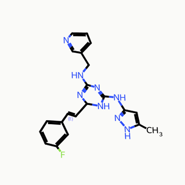 Cc1cc(NC2=NC(NCc3cccnc3)=NC(/C=C/c3cccc(F)c3)N2)n[nH]1